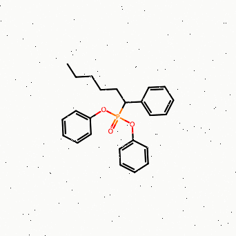 CCCCCC(c1ccccc1)P(=O)(Oc1ccccc1)Oc1ccccc1